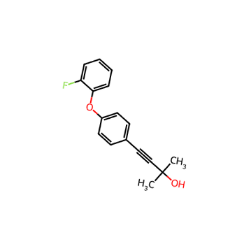 CC(C)(O)C#Cc1ccc(Oc2ccccc2F)cc1